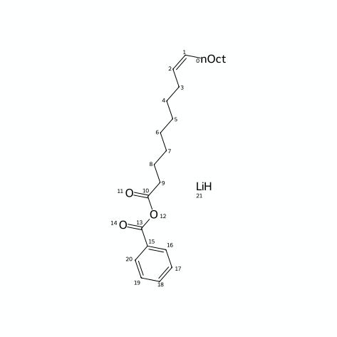 CCCCCCCC/C=C\CCCCCCCC(=O)OC(=O)c1ccccc1.[LiH]